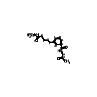 CNC(=O)CCCCc1cccc(C(=O)NCC(C)=O)c1